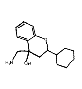 NCC1(O)CC(C2CCCCC2)Oc2ccccc21